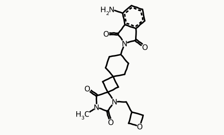 CN1C(=O)N(CC2COC2)C2(CC3(CCC(N4C(=O)c5cccc(N)c5C4=O)CC3)C2)C1=O